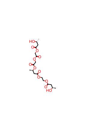 C[C@H](CC(=O)OCCOC(=O)C[C@@H](C)O)OC(=O)COC(=O)COC(=O)C[C@@H](C)O